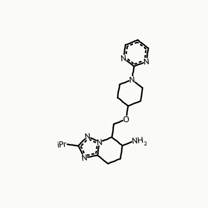 CC(C)c1nc2n(n1)C(COC1CCN(c3ncccn3)CC1)C(N)CC2